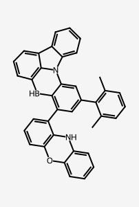 Cc1cccc(C)c1-c1cc(-c2cccc3c2Nc2ccccc2O3)c2c(c1)-n1c3ccccc3c3cccc(c31)B2